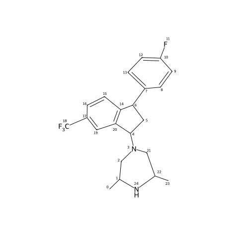 CC1CN(C2CC(c3ccc(F)cc3)c3ccc(C(F)(F)F)cc32)CC(C)N1